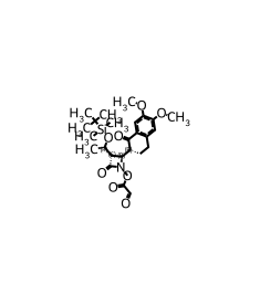 COc1cc2c(cc1OC)C(=O)[C@@H]([C@@H]1[C@@H]([C@@H](C)O[Si](C)(C)C(C)(C)C)C(=O)N1OC(=O)C=O)CC2